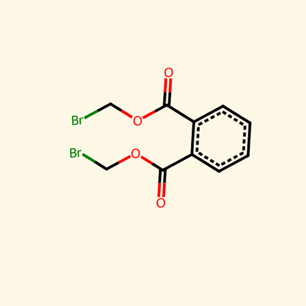 O=C(OCBr)c1ccccc1C(=O)OCBr